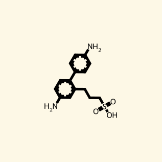 Nc1ccc(-c2ccc(N)cc2CCCS(=O)(=O)O)cc1